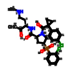 CCCCNCC[C@H](NC(=O)[C@@H]1C[C@@H](S(=O)(=O)c2ccccc2Cl)CN1C(=O)C1(c2ccc(Cl)cc2)CC1)C(=O)C=O